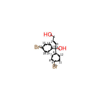 OC/C=C/C(O)(c1ccc(Br)cc1)c1ccc(Br)cc1